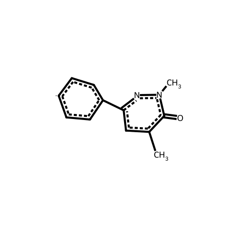 Cc1cc(-c2cc[c]cc2)nn(C)c1=O